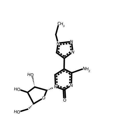 CCn1cc(-c2cn([C@@H]3O[C@H](CO)C(O)[C@@H]3O)c(=O)nc2N)nn1